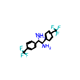 N[C@@H](c1ccc(C(F)(F)F)cc1)[C@@H](N)c1ccc(C(F)(F)F)cc1